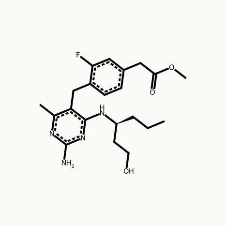 CCC[C@@H](CCO)Nc1nc(N)nc(C)c1Cc1ccc(CC(=O)OC)cc1F